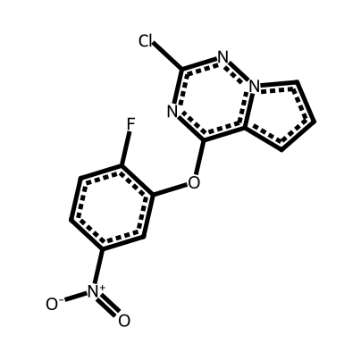 O=[N+]([O-])c1ccc(F)c(Oc2nc(Cl)nn3cccc23)c1